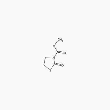 COC(=O)N1CCSC1=O